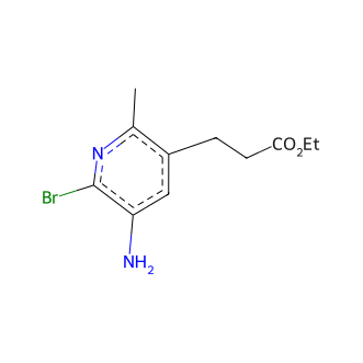 CCOC(=O)CCc1cc(N)c(Br)nc1C